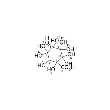 O=C(O)C1(O)C(O)C(O)(O)C(O)(O)C(O)(O)C1(O)O